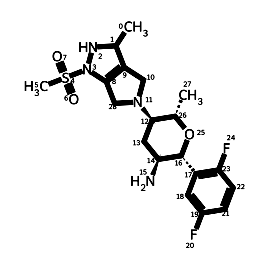 CC1NN(S(C)(=O)=O)C2=C1CN([C@@H]1C[C@H](N)[C@@H](c3cc(F)ccc3F)O[C@H]1C)C2